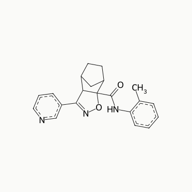 Cc1ccccc1NC(=O)C12ON=C(c3cccnc3)C1C1CCC2C1